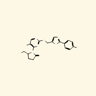 C[C@H](Nc1ncc(F)c(N2C(=O)CCC2CO)n1)c1cnc(-c2ccc(Cl)cc2)s1